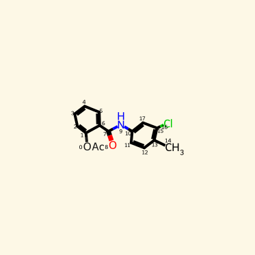 CC(=O)Oc1ccccc1C(=O)Nc1ccc(C)c(Cl)c1